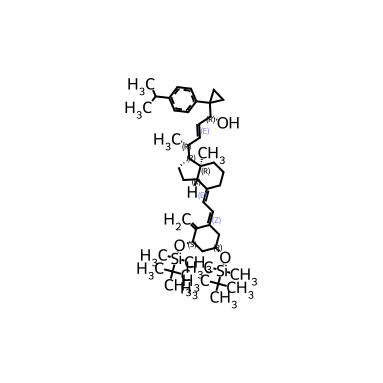 C=C1/C(=C\C=C2/CCC[C@]3(C)[C@@H]([C@H](C)/C=C/[C@@H](O)C4(c5ccc(C(C)C)cc5)CC4)CC[C@@H]23)C[C@@H](O[Si](C)(C)C(C)(C)C)C[C@@H]1O[Si](C)(C)C(C)(C)C